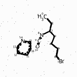 CCC(CCCCBr)N=C=O.c1ccncc1